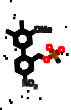 COc1cc(-c2ccc([N+](=O)[O-])cc2COS(C)(=O)=O)cc(C)c1C